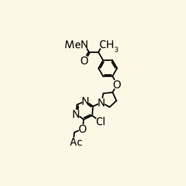 CNC(=O)C(C)c1ccc(OC2CCN(c3ncnc(OCC(C)=O)c3Cl)C2)cc1